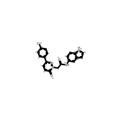 O=C(Cn1nc(-c2ccc(Cl)cc2)ccc1=O)Nc1ccc2[nH]ccc2c1